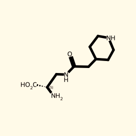 N[C@@H](CNC(=O)CC1CCNCC1)C(=O)O